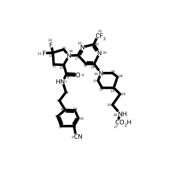 N#Cc1ccc(CCNC(=O)C2CC(F)(F)CN2c2cc(N3CCC(CCNC(=O)O)CC3)nc(C(F)(F)F)n2)cc1